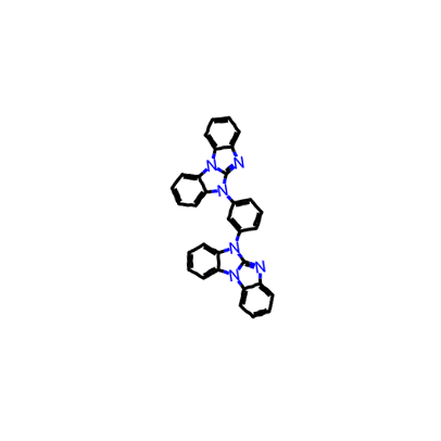 c1cc(-n2c3ccccc3n3c4ccccc4nc23)cc(-n2c3ccccc3n3c4ccccc4nc23)c1